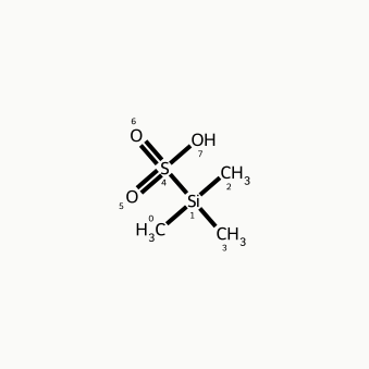 C[Si](C)(C)S(=O)(=O)O